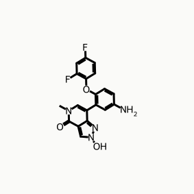 Cn1cc(-c2cc(N)ccc2Oc2ccc(F)cc2F)c2nn(O)cc2c1=O